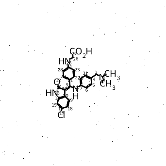 CN(C)Cc1ccc(NC(=C2C(=O)Nc3cc(Cl)ccc32)c2ccc(NCC(=O)O)cc2)cc1